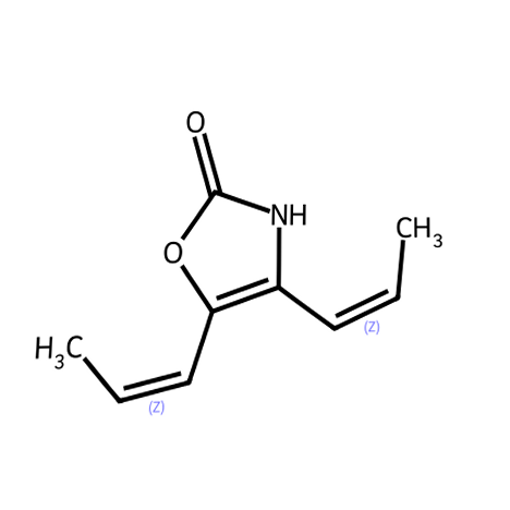 C/C=C\c1[nH]c(=O)oc1/C=C\C